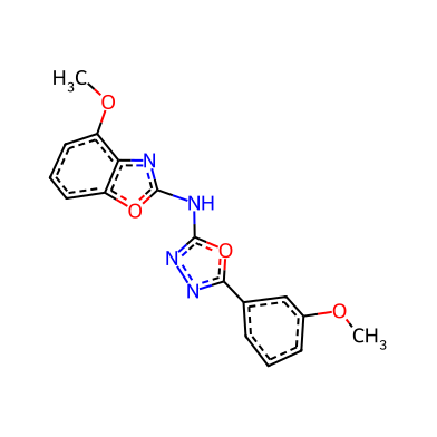 COc1cccc(-c2nnc(Nc3nc4c(OC)cccc4o3)o2)c1